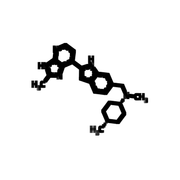 Cc1nc2c(-c3cc4ccc(CN(C)[C@H]5CC[C@@H](C)CC5)cc4[nH]3)ccnc2[nH]1